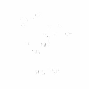 COc1cc(NC(=O)OC(C)=O)c(C(Nc2ccc(C(=N)N)cc2)C(=O)NCc2ccccc2)cc1OC